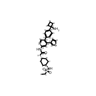 CCS(=O)(=O)N[C@H]1CC[C@H](CC(=O)Nc2cc(-c3ccsc3)c(-c3ccc(C4(N)CCC4)cc3)cn2)CC1